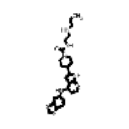 CCCNCCNC(=O)N1CC=C(c2cc3c(Nc4ccc5ncsc5c4)ccnc3[nH]2)CC1